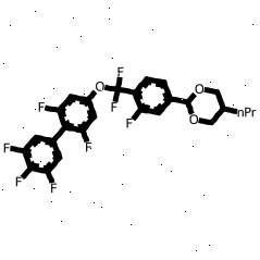 CCCC1COC(c2ccc(C(F)(F)Oc3cc(F)c(-c4cc(F)c(F)c(F)c4)c(F)c3)c(F)c2)OC1